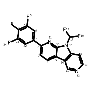 Cc1c(F)cc(-c2ccc3c4cnccc4n(C(F)F)c3n2)cc1F